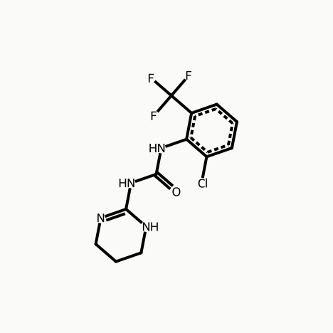 O=C(NC1=NCCCN1)Nc1c(Cl)cccc1C(F)(F)F